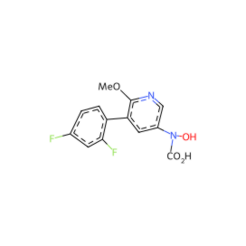 COc1ncc(N(O)C(=O)O)cc1-c1ccc(F)cc1F